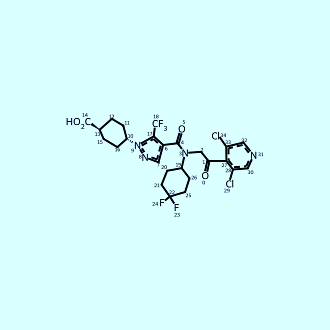 O=C(CN(C(=O)c1cnn([C@H]2CC[C@H](C(=O)O)CC2)c1C(F)(F)F)C1CCC(F)(F)CC1)c1c(Cl)cncc1Cl